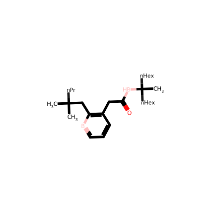 CCCCCCC(C)(BC(=O)Cc1cccbc1CC(C)(C)CCC)CCCCCC